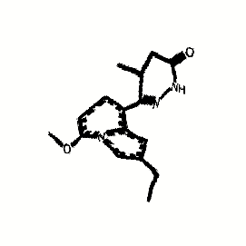 CCc1cc2c(C3=NNC(=O)CC3C)ccc(OC)n2c1